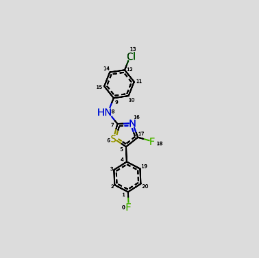 Fc1ccc(-c2sc(Nc3ccc(Cl)cc3)nc2F)cc1